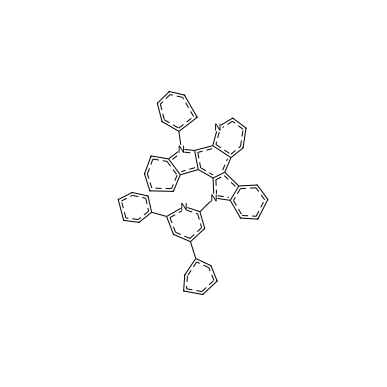 c1ccc(-c2cc(-c3ccccc3)nc(-n3c4ccccc4c4c5cccnc5c5c(c6ccccc6n5-c5ccccc5)c43)c2)cc1